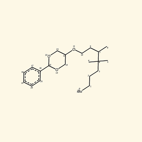 CCC(C)CCCC(C)(C)C(C)CCOC1COC(c2ccccc2)OC1